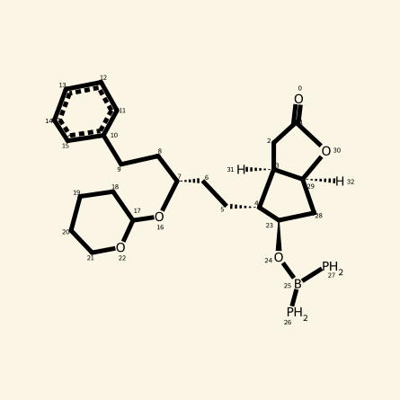 O=C1C[C@@H]2[C@@H](CC[C@@H](CCc3ccccc3)OC3CCCCO3)[C@H](OB(P)P)C[C@@H]2O1